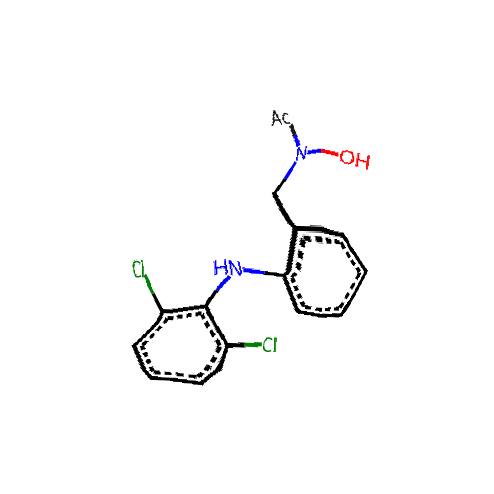 CC(=O)N(O)Cc1ccccc1Nc1c(Cl)cccc1Cl